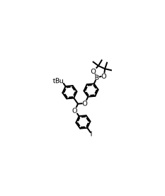 CC(C)(C)c1ccc(C(Oc2ccc(I)cc2)Oc2ccc(B3OC(C)(C)C(C)(C)O3)cc2)cc1